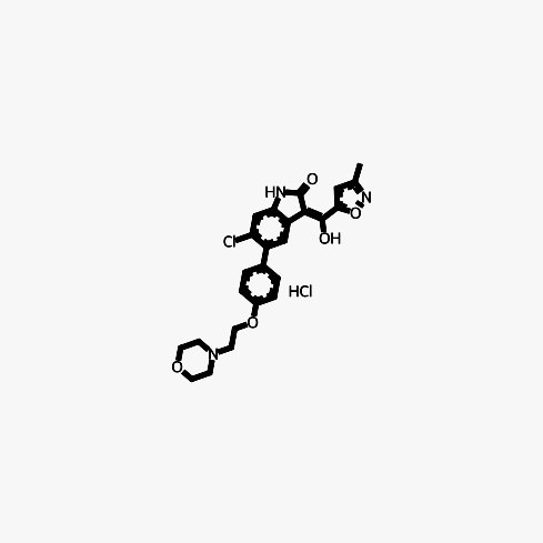 Cc1cc(C(O)=C2C(=O)Nc3cc(Cl)c(-c4ccc(OCCN5CCOCC5)cc4)cc32)on1.Cl